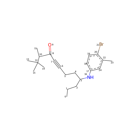 CCCC(CCC#CC(=O)C(C)C(C)(C)C)Nc1ccc(Br)c(C)c1